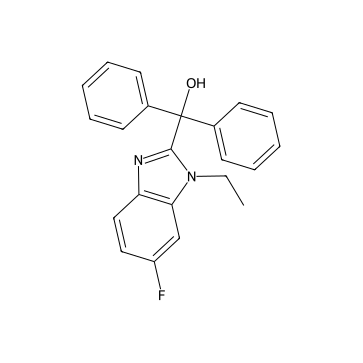 CCn1c(C(O)(c2ccccc2)c2ccccc2)nc2ccc(F)cc21